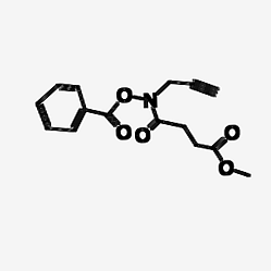 C#CCN(OC(=O)c1ccccc1)C(=O)CCC(=O)OC